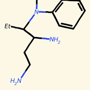 CCC(C(N)CCN)N(C)c1ccccc1